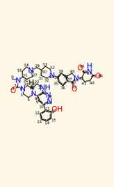 CN(C(=O)N1CCN2c3cc(-c4ccccc4O)nnc3NC[C@H]2C1)C1CCN(CC2CCN(c3ccc4c(c3)CN(C3CCC(=O)NC3=O)C4=O)CC2)CC1